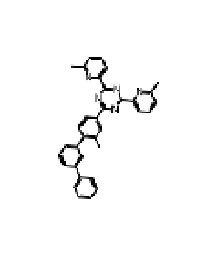 Cc1cccc(-c2nc(-c3ccc(-c4cccc(-c5ccccc5)c4)c(C)c3)nc(-c3cccc(C)n3)n2)n1